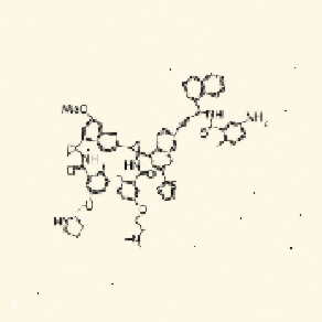 COc1cc(C2(NC(=O)c3cc(OC[C@@H]4CCCN4)ccc3C)CC2)c2ccc(C3CC3(NC(=O)c3cc(OCCN(C)C)ccc3C)c3cc(-c4cccs4)cc4cc(C#CC(NC(=O)c5cc(N)ccc5C)c5cccc6ccccc56)ccc34)cc2c1